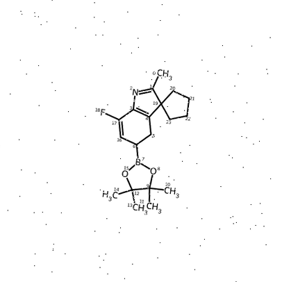 CC1=NC2=C(CC(B3OC(C)(C)C(C)(C)O3)C=C2F)C12CCCC2